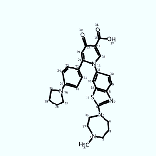 CN1CCCN(c2nc3ccc(-n4cc(C(=O)O)c(=O)cc4-c4ccc(N5CCCC5)cc4)cc3s2)CC1